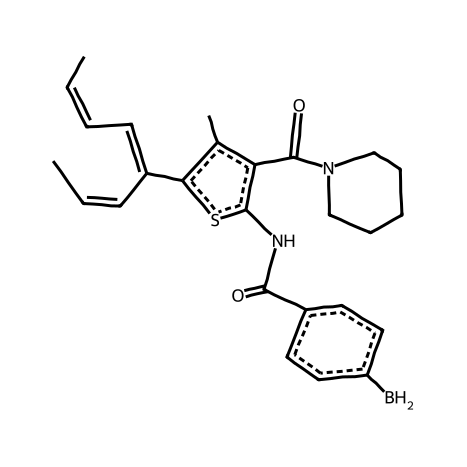 Bc1ccc(C(=O)Nc2sc(C(/C=C\C)=C/C=C\C)c(C)c2C(=O)N2CCCCC2)cc1